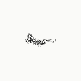 CC[C@@H](NC(=O)c1ccc2c(c1)nc(-c1ccoc1)n2C1CCCCC1)C(=O)Nc1ccc(C=CC(=O)O)cc1